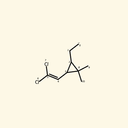 [CH]CC1C(C=C(Cl)Cl)C1(C)C